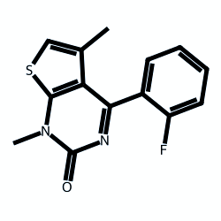 Cc1csc2c1c(-c1ccccc1F)nc(=O)n2C